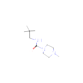 CN1CCN(C(=O)NCC(C)(C)C)CC1